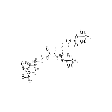 CC(C)(C)OC(=O)NCCCC[C@H](NC(=O)OC(C)(C)C)C(=O)NCCNc1ccc([N+](=O)[O-])c2nonc12